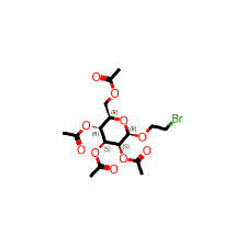 CC(=O)OC[C@H]1O[C@@H](OCCBr)[C@@H](OC(C)=O)[C@@H](OC(C)=O)[C@@H]1OC(C)=O